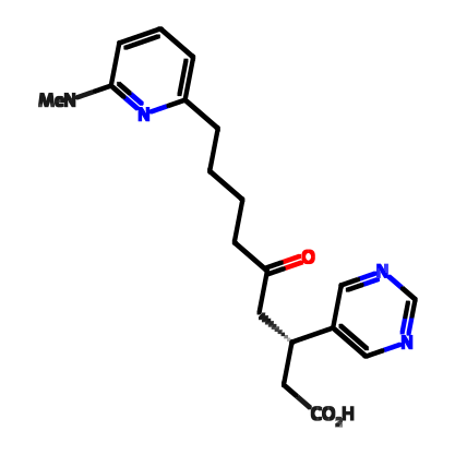 CNc1cccc(CCCCC(=O)C[C@@H](CC(=O)O)c2cncnc2)n1